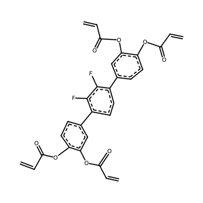 C=CC(=O)Oc1ccc(-c2ccc(-c3ccc(OC(=O)C=C)c(OC(=O)C=C)c3)c(F)c2F)cc1OC(=O)C=C